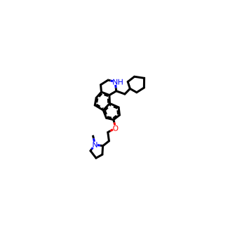 CN1CCCC1CCOc1ccc2c3c(ccc2c1)CCNC3CC1CCCCC1